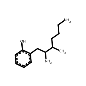 CC(CCCN)C(N)Cc1ccccc1O